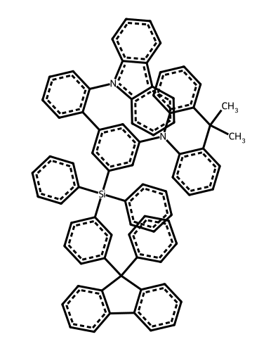 CC1(C)c2ccccc2N(c2cc(-c3ccccc3-n3c4ccccc4c4ccccc43)cc([Si](c3ccccc3)(c3ccccc3)c3cccc(C4(c5ccccc5)c5ccccc5-c5ccccc54)c3)c2)c2ccccc21